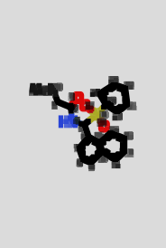 CNCC(=O)NC(c1cccc2ccccc12)S(=O)(=O)c1ccccc1